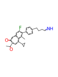 CC(=O)c1cc(C2CC2)c2c(C)c(-c3ccc(CCCC=N)cc3)c(F)cc2cc1=O